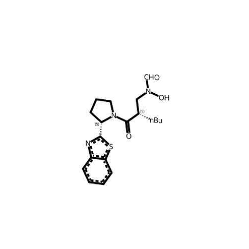 CCCC[C@@H](CN(O)C=O)C(=O)N1CCC[C@H]1c1nc2ccccc2s1